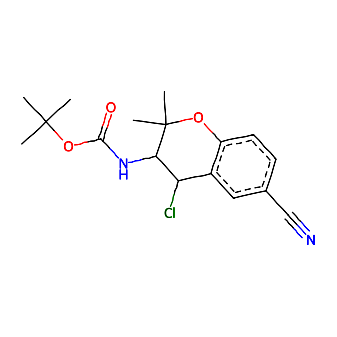 CC(C)(C)OC(=O)NC1C(Cl)c2cc(C#N)ccc2OC1(C)C